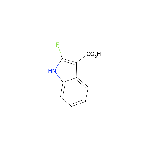 O=C(O)c1c(F)[nH]c2ccccc12